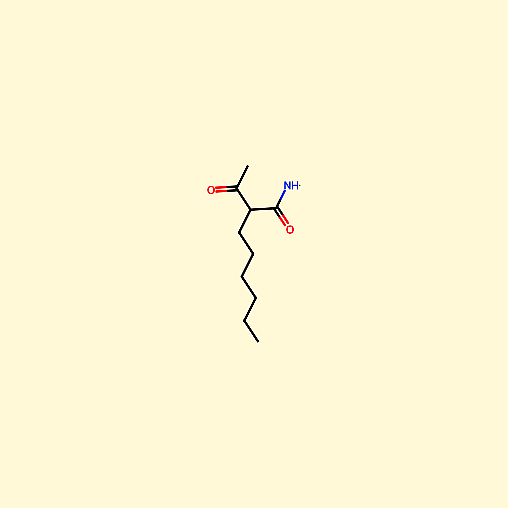 CCCCCCC(C(C)=O)C([NH])=O